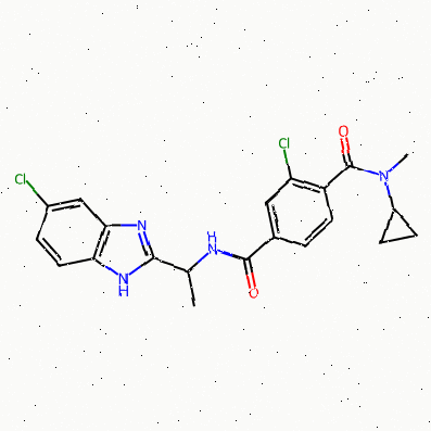 CC(NC(=O)c1ccc(C(=O)N(C)C2CC2)c(Cl)c1)c1nc2cc(Cl)ccc2[nH]1